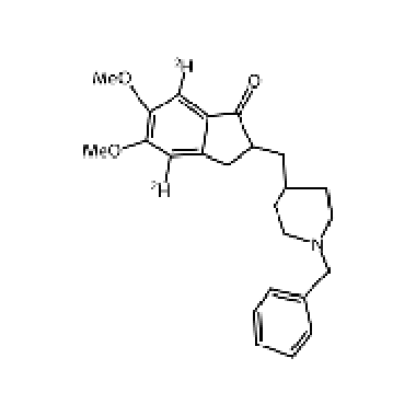 [2H]c1c2c(c([2H])c(OC)c1OC)C(=O)C(CC1CCN(Cc3ccccc3)CC1)C2